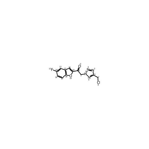 O=C(Cn1nnc(CCl)n1)c1cc2cc(F)ccc2o1